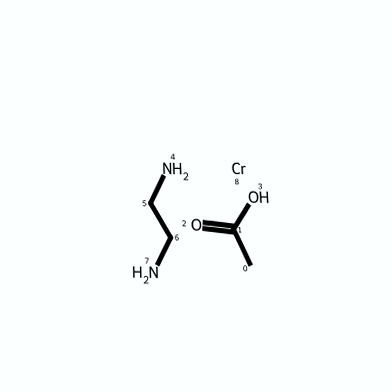 CC(=O)O.NCCN.[Cr]